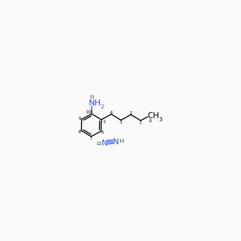 CCCCCc1ccccc1N.N#N